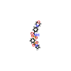 O=C(NS(=O)(=O)c1cccc(S(=O)(=O)N2CCCC2)c1)c1ccc(N2CCOCC2)cc1